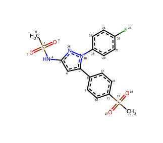 CS(=O)(=O)Nc1cc(-c2ccc(S(C)(=O)=O)cc2)n(-c2ccc(F)cc2)n1